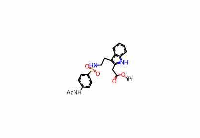 CC(=O)Nc1ccc(S(=O)(=O)NCCc2c(CC(=O)OC(C)C)[nH]c3ccccc23)cc1